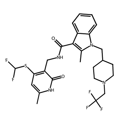 Cc1cc(SC(F)F)c(CNC(=O)c2c(C)n(CC3CCN(CC(F)(F)F)CC3)c3ccccc23)c(=O)[nH]1